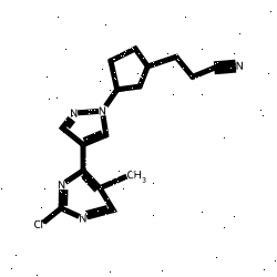 Cc1cnc(Cl)nc1-c1cnn(C2CCC(CCC#N)C2)c1